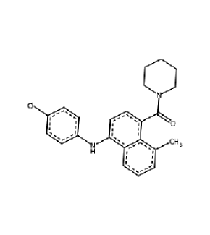 Cc1cccc2c(Nc3ccc(Cl)cc3)ccc(C(=O)N3CCCCC3)c12